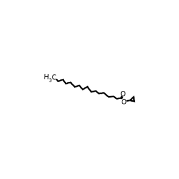 CCCCCCCCCCCCCCCCC(=O)OC1CC1